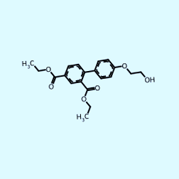 CCOC(=O)c1ccc(-c2ccc(OCCO)cc2)c(C(=O)OCC)c1